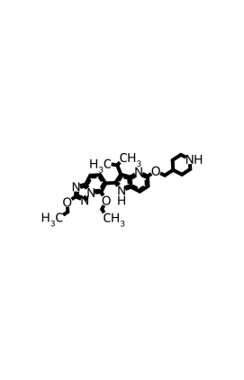 CCOc1nc2ccc(-c3[nH]c4ccc(OCC5CCNCC5)nc4c3C(C)C)c(OCC)n2n1